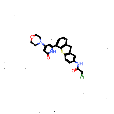 O=C(CCl)Nc1ccc2c(c1)Cc1cccc(-c3cc(N4CCOCC4)cc(=O)[nH]3)c1S2